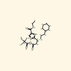 CCOC(=O)c1coc([C@H](CCCC2CCCCC2)CC(=O)OC(=O)C(F)(F)F)n1